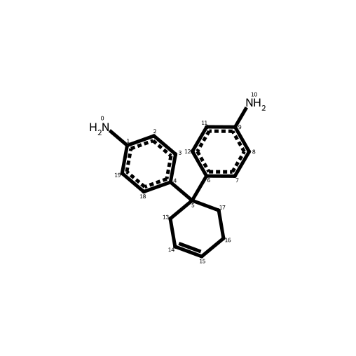 Nc1ccc(C2(c3ccc(N)cc3)CC=CCC2)cc1